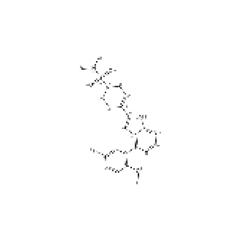 COc1ccc(F)cc1-c1ccnc2[nH]c(C3=CCN(S(=O)(=O)N(C)C)CC3)cc12